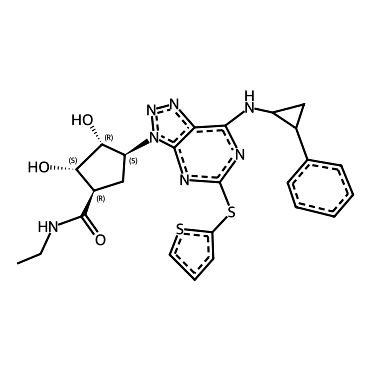 CCNC(=O)[C@@H]1C[C@H](n2nnc3c(NC4CC4c4ccccc4)nc(Sc4cccs4)nc32)[C@@H](O)[C@H]1O